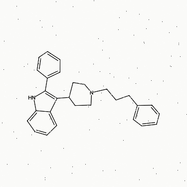 c1ccc(CCCN2CCC(c3c(-c4ccccc4)[nH]c4ccccc34)CC2)cc1